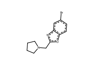 Brc1ccc2oc(CN3CCCC3)nc2c1